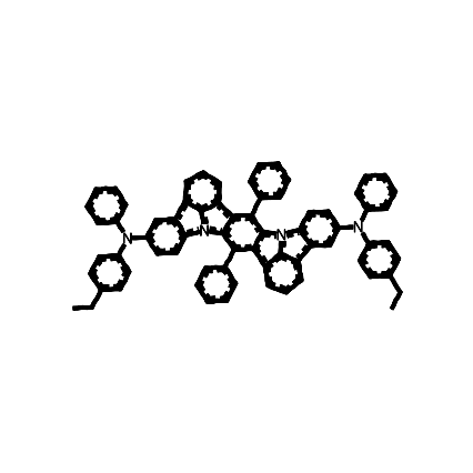 CCc1ccc(N(c2ccccc2)c2ccc3c(c2)c2cccc4c5c(-c6ccccc6)c6c(c(-c7ccccc7)c5n3c24)c2cccc3c4cc(N(c5ccccc5)c5ccc(CC)cc5)ccc4n6c32)cc1